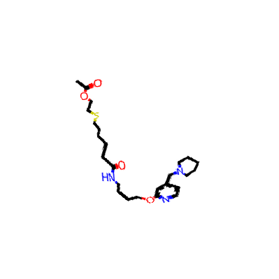 CC(=O)OCCSCCCCCC(=O)NC/C=C\COc1cc(CN2CCCCC2)ccn1